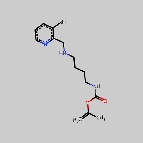 C=C(C)OC(=O)NCCCCNCc1ncccc1C(C)C